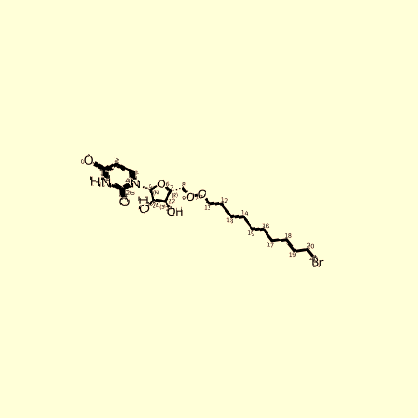 O=c1ccn([C@@H]2O[C@H](COOCCCCCCCCCCBr)[C@@H](O)[C@H]2O)c(=O)[nH]1